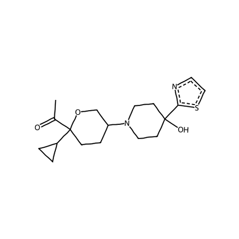 CC(=O)C1(C2CC2)CCC(N2CCC(O)(c3nccs3)CC2)CO1